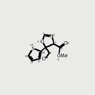 COC(=O)C1N=COC1(CCl)c1cccs1